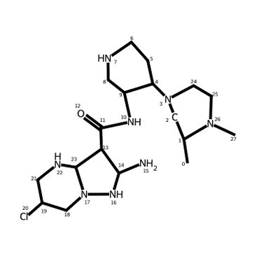 CC1CN(C2CCNCC2NC(=O)C2C(N)NN3CC(Cl)CNC23)CCN1C